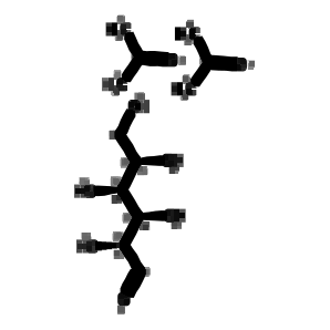 CC(C)=O.CC(C)=O.O=C[C@H](O)[C@H](O)[C@@H](O)[C@H](O)CO